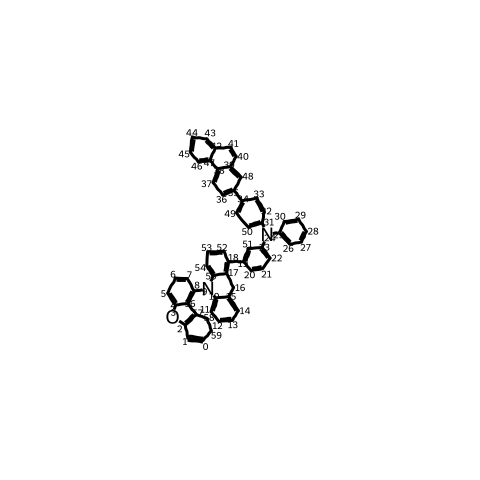 C1#Cc2oc3cccc(N4c5ccccc5Cc5c(-c6cccc(N(c7ccccc7)c7ccc(-c8ccc9c(ccc%10ccccc%109)c8)cc7)c6)cccc54)c3c2CC1